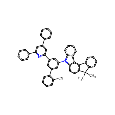 CC1(C)c2ccccc2-c2c1ccc1c2c2ccccc2n1-c1cc(-c2cc(-c3ccccc3)cc(-c3ccccc3)n2)cc(-c2ccccc2C#N)c1